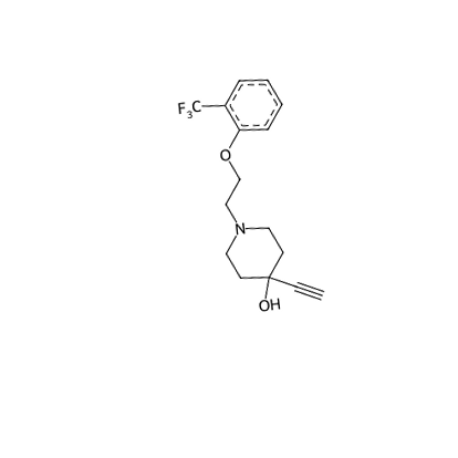 C#CC1(O)CCN(CCOc2ccccc2C(F)(F)F)CC1